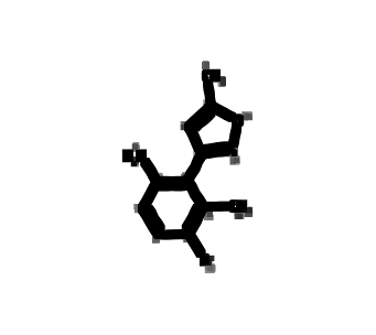 Cc1cc(-c2c(N)ccc(Br)c2C)no1